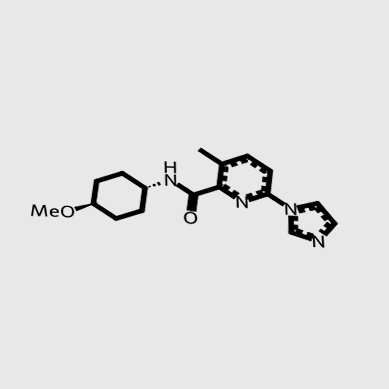 CO[C@H]1CC[C@H](NC(=O)c2nc(-n3ccnc3)ccc2C)CC1